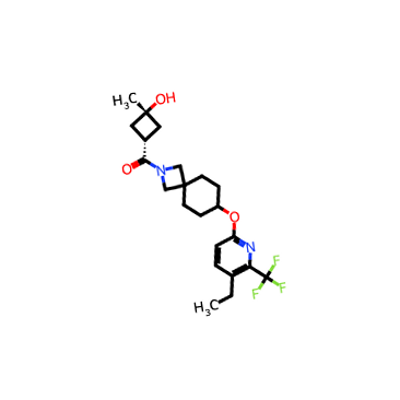 CCc1ccc(OC2CCC3(CC2)CN(C(=O)[C@H]2C[C@@](C)(O)C2)C3)nc1C(F)(F)F